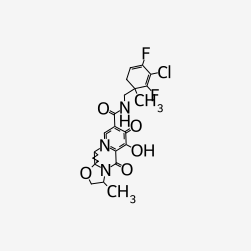 CC1CO[C@]23CCCC2n2cc(C(=O)NCC4(C)CC=C(F)C(Cl)=C4F)c(=O)c(O)c2C(=O)N13